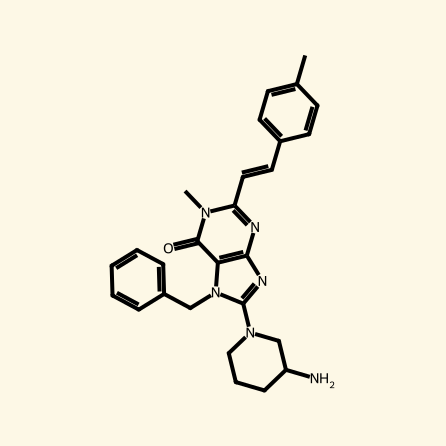 Cc1ccc(C=Cc2nc3nc(N4CCCC(N)C4)n(Cc4ccccc4)c3c(=O)n2C)cc1